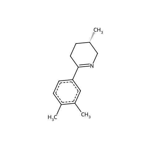 Cc1ccc(C2=NC[C@@H](C)CC2)cc1C